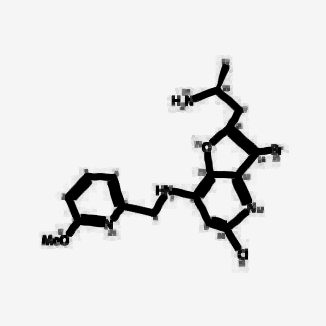 COc1cccc(CNc2cc(Cl)nc3c(Br)c(C[C@H](C)N)oc23)n1